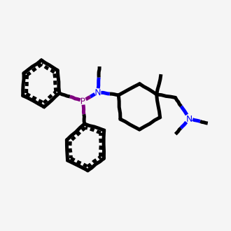 CN(C)CC1(C)CCCC(N(C)P(c2ccccc2)c2ccccc2)C1